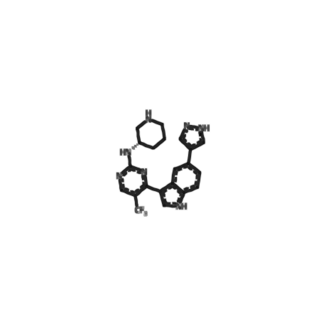 FC(F)(F)c1cnc(N[C@H]2CCCNC2)nc1-c1c[nH]c2ccc(-c3cn[nH]c3)cc12